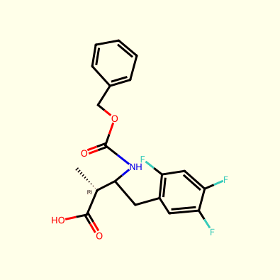 C[C@@H](C(=O)O)C(Cc1cc(F)c(F)cc1F)NC(=O)OCc1ccccc1